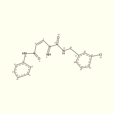 N=C(/C=C\C(=O)Nc1ccccc1)C(=O)NCc1cccc(Cl)c1